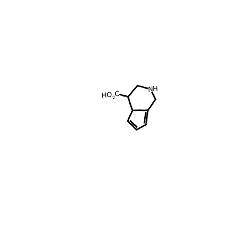 O=C(O)C1CNCC2=CC=CC21